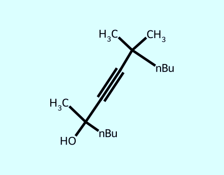 CCCCC(C)(C)C#CC(C)(O)CCCC